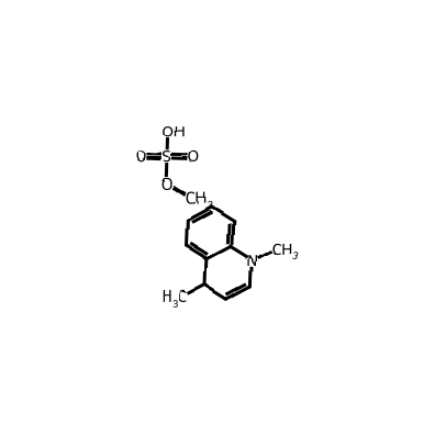 CC1C=CN(C)c2ccccc21.COS(=O)(=O)O